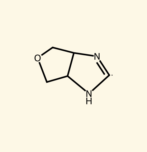 [C]1=NC2COCC2N1